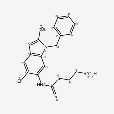 CC(C)(C)c1nc2cc(Cl)c(NC(=S)SCCC(=O)O)cc2n1Cc1ccccc1